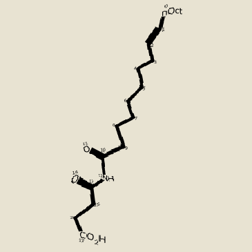 CCCCCCCCC=CCCCCCCCC(=O)NC(=O)CCC(=O)O